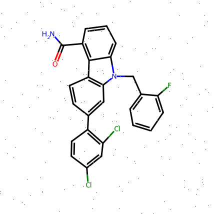 NC(=O)c1cccc2c1c1[c]cc(-c3ccc(Cl)cc3Cl)cc1n2Cc1ccccc1F